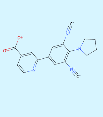 [C-]#[N+]c1cc(-c2cc(C(=O)O)ccn2)cc([N+]#[C-])c1N1CCCC1